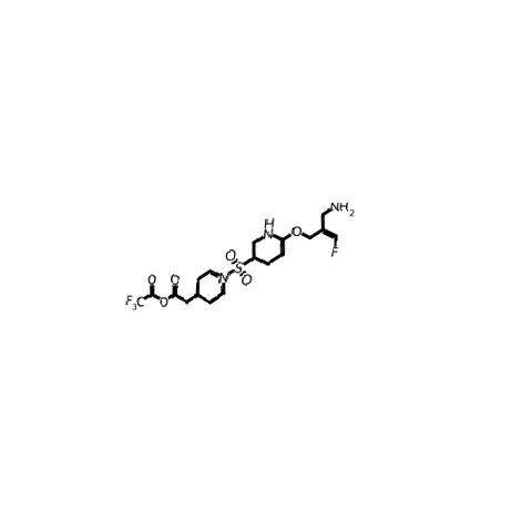 NC/C(=C/F)COC1CCC(S(=O)(=O)N2CCC(CC(=O)OC(=O)C(F)(F)F)CC2)CN1